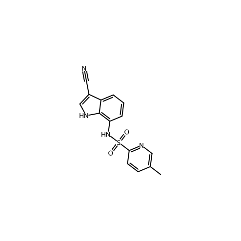 Cc1ccc(S(=O)(=O)Nc2cccc3c(C#N)c[nH]c23)nc1